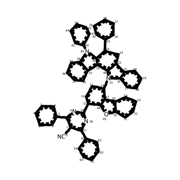 N#Cc1c(-c2ccccc2)nc(-c2ccc(-n3c4ccccc4c4cc(-c5ccccc5)c5c(c6ccccc6n5-c5ccccc5)c43)c3c2oc2ccccc23)nc1-c1ccccc1